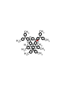 Cc1ccc(N(c2ccc(C)cc2)c2cc3c4c(c2)Oc2cc5c(cc2B4c2ccccc2O3)B2c3cc4c(cc3N(c3c(C)cc(C)cc3C)c3cc(N(c6ccc(C)cc6)c6ccc(C)cc6)cc(c32)N5c2c(C)cc(C)cc2C)Oc2cc(N(c3ccc(C)cc3)c3ccc(C)cc3)cc3c2B4c2ccccc2O3)cc1